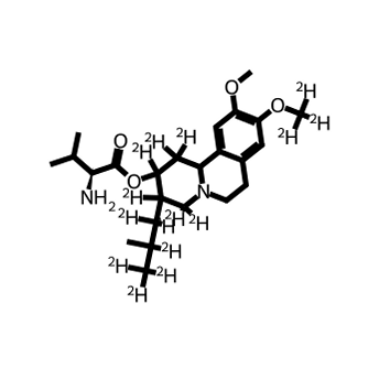 [2H]C([2H])([2H])Oc1cc2c(cc1OC)C1N(CC2)C([2H])([2H])C([2H])(C([2H])([2H])C([2H])(C)C([2H])([2H])[2H])C([2H])(OC(=O)[C@@H](N)C(C)C)C1([2H])[2H]